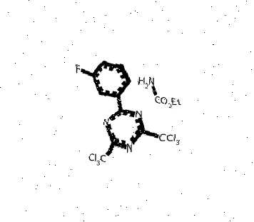 CCOC(N)=O.Fc1cccc(-c2nc(C(Cl)(Cl)Cl)nc(C(Cl)(Cl)Cl)n2)c1